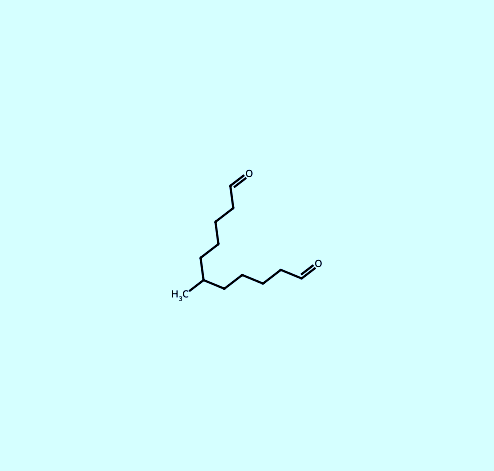 CC(CCCCC=O)CCCCC=O